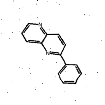 c1ccc(-c2ccc3ncccc3n2)cc1